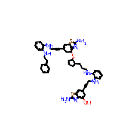 Nc1nc2c(O)cc(C#CCNc3ccccc3NCCCC3CCCC3Oc3cc(C#CCNc4ccccc4NCCc4ccccc4)cc4sc(N)nc34)cc2s1